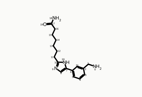 NCc1cccc(-c2cnc(CCCCCCC(N)=O)[nH]2)c1